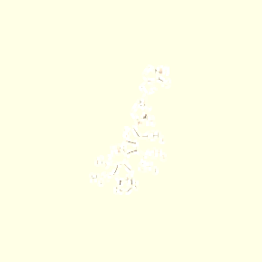 Cc1c(-c2[nH]c3sc([C@@H]4CC5C[C@H]4CN5[C@H]4C[C@@]5(CCNC5=O)C4)c(C)c3c2C(C)C)cn2ncnc2c1C